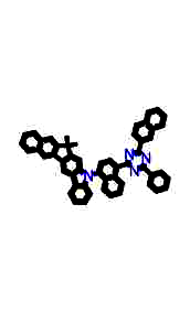 CC1(C)c2cc3ccccc3cc2-c2cc3c4ccccc4n(-c4ccc(-c5nc(-c6ccccc6)nc(-c6ccc7ccccc7c6)n5)c5ccccc45)c3cc21